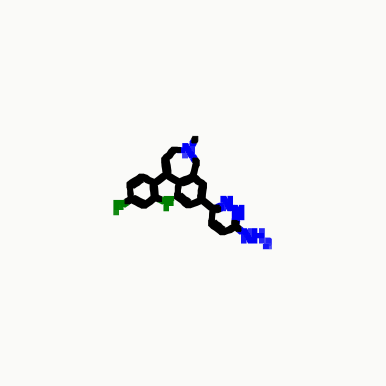 CN1CC=C(c2ccc(F)cc2F)c2ccc(-c3ccc(N)nn3)cc2C1